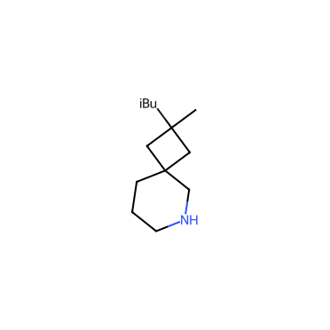 CCC(C)C1(C)CC2(CCCNC2)C1